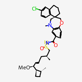 CO[C@@H](/C=C/C[C@H](C)C/[SH](=O)=N\C(=O)c1ccc2c(c1)N(C)C[C@@]1(CCCc3cc(Cl)ccc31)CO2)[C@@H]1CC[C@H]1C